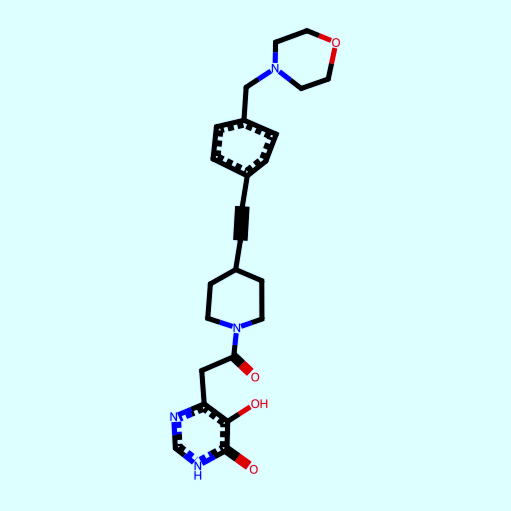 O=C(Cc1nc[nH]c(=O)c1O)N1CCC(C#Cc2ccc(CN3CCOCC3)cc2)CC1